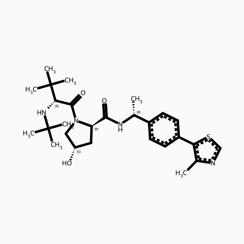 Cc1ncsc1-c1ccc([C@@H](C)NC(=O)[C@H]2C[C@H](O)CN2C(=O)[C@H](NC(C)(C)C)C(C)(C)C)cc1